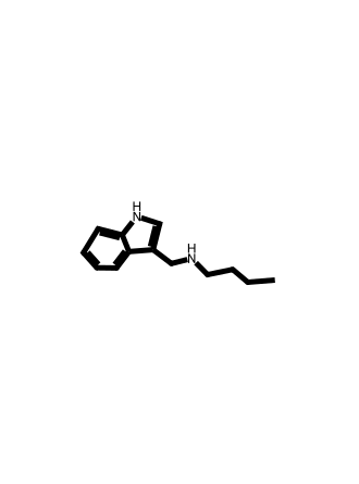 CCCCNCc1c[nH]c2ccccc12